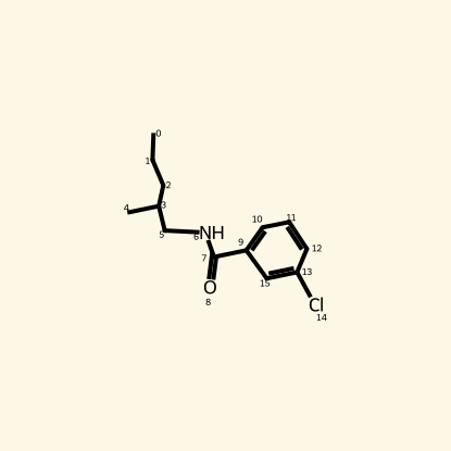 CCCC(C)CNC(=O)c1cccc(Cl)c1